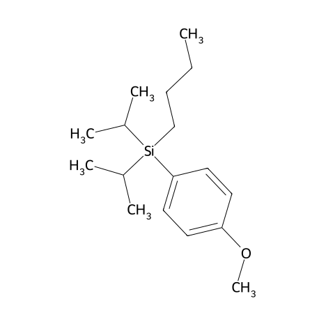 CCCC[Si](c1ccc(OC)cc1)(C(C)C)C(C)C